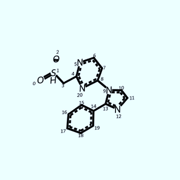 O=[SH](=O)Cc1nccc(-n2ccnc2-c2ccccc2)n1